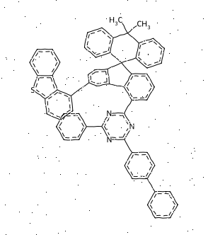 CC1(C)c2ccccc2C2(c3ccc(-c4cccc5sc6ccccc6c45)cc3-c3c(-c4nc(-c5ccccc5)nc(-c5ccc(-c6ccccc6)cc5)n4)cccc32)c2ccccc21